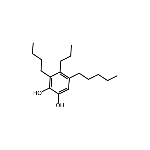 CCCCCc1cc(O)c(O)c(CCCC)c1CCC